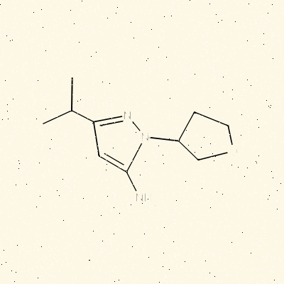 CC(C)c1cc(N)n(C2CCOC2)n1